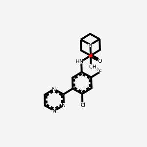 CC1CC2CC(C1)N2C(=O)Nc1cc(-c2nccnn2)c(Cl)cc1F